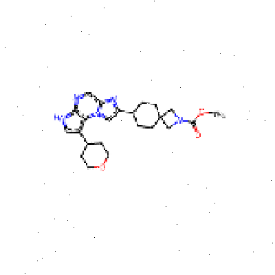 CC(C)(C)OC(=O)N1CC2(CCC(c3cn4c(cnc5[nH]cc(C6CCOCC6)c54)n3)CC2)C1